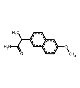 COc1ccc2cc([C@H](C)C(N)=O)ccc2c1